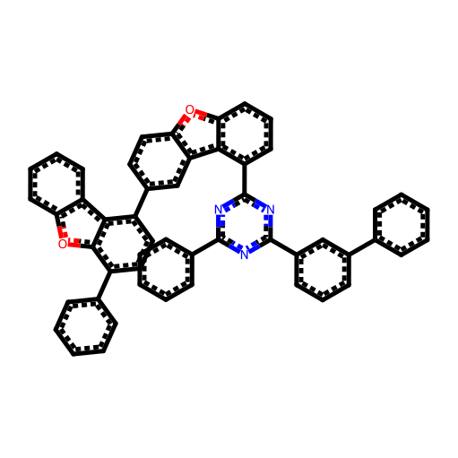 c1ccc(-c2cccc(-c3nc(-c4ccccc4)nc(-c4cccc5oc6ccc(-c7ccc(-c8ccccc8)c8oc9ccccc9c78)cc6c45)n3)c2)cc1